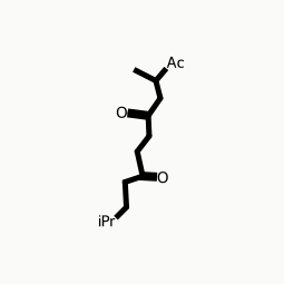 CC(=O)C(C)CC(=O)CCC(=O)CCC(C)C